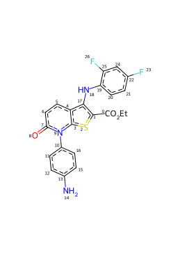 CCOC(=O)c1sc2c(ccc(=O)n2-c2ccc(N)cc2)c1Nc1ccc(F)cc1F